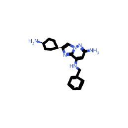 Nc1cc(NCc2ccccc2)c2nc([C@H]3CC[C@H](N)CC3)cn2n1